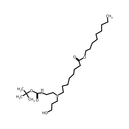 CCCCCCCCCOC(=O)CCCCCCCN(CCCO)CCNC(=O)OC(C)(C)C